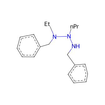 CCCN(NCc1ccccc1)N(CC)Cc1ccccc1